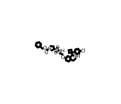 O=C(OCc1ccccc1)N1CCC(S(=O)(=O)NCCOc2ccc3c(c2)C(C2(c4ccc(Cl)cc4)CCC2)NCC3)C1